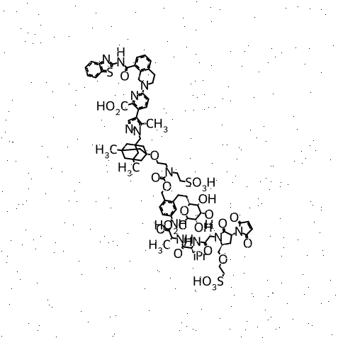 Cc1c(-c2ccc(N3CCc4cccc(C(=O)Nc5nc6ccccc6s5)c4C3)nc2C(=O)O)cnn1CC12CC3(C)CC(C)(C1)CC(OCCN(CCS(=O)(=O)O)C(=O)OCc1ccc(NC(=O)[C@H](C)NC(=O)[C@@H](NC(=O)CN4C(=O)[C@@H](N5C(=O)C=CC5=O)C[C@H]4COCCS(=O)(=O)O)C(C)C)cc1CC[C@@H]1O[C@H](C(=O)O)[C@@H](O)[C@H](O)[C@H]1O)(C3)C2